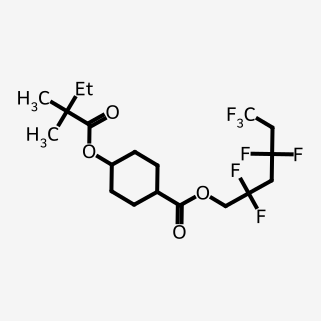 CCC(C)(C)C(=O)OC1CCC(C(=O)OCC(F)(F)CC(F)(F)CC(F)(F)F)CC1